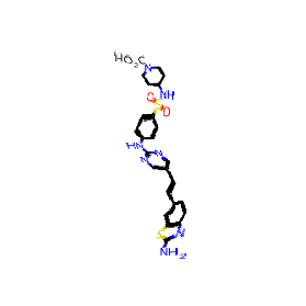 Nc1nc2ccc(C=Cc3cnc(Nc4ccc(S(=O)(=O)NC5CCN(C(=O)O)CC5)cc4)nc3)cc2s1